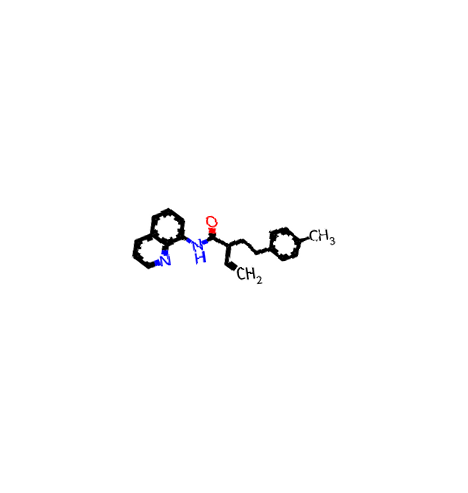 C=CC(CCc1ccc(C)cc1)C(=O)Nc1cccc2cccnc12